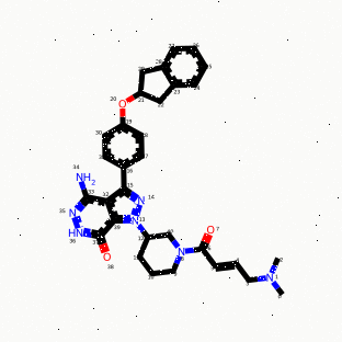 CN(C)C/C=C/C(=O)N1CCCC(n2nc(-c3ccc(OC4Cc5ccccc5C4)cc3)c3c(N)n[nH]c(=O)c32)C1